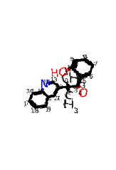 CC(C)(C(=O)c1ccccc1O)c1cnc2ccccc2c1